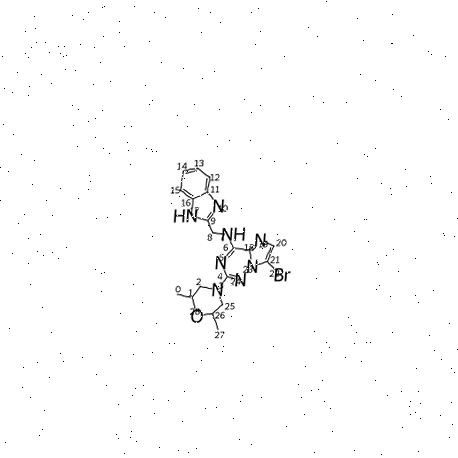 CC1CN(c2nc(NCc3nc4ccccc4[nH]3)c3ncc(Br)n3n2)CC(C)O1